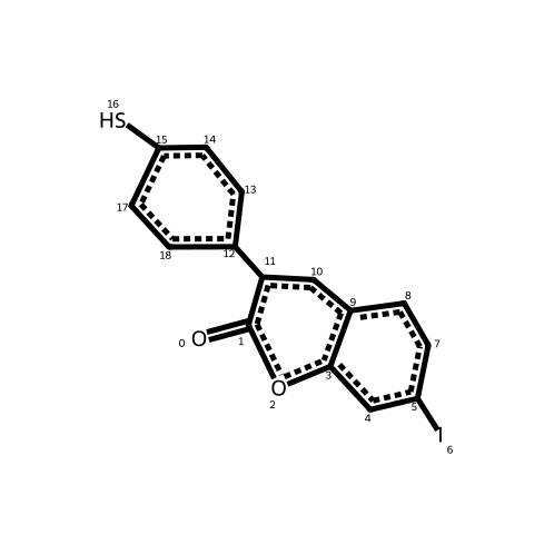 O=c1oc2cc(I)ccc2cc1-c1ccc(S)cc1